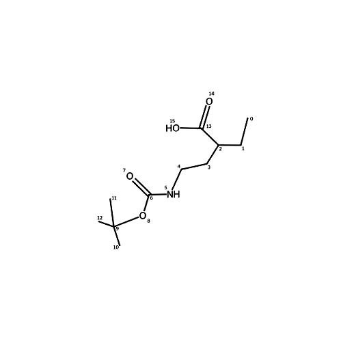 CCC(CCNC(=O)OC(C)(C)C)C(=O)O